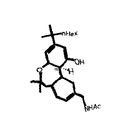 CCCCCCC(C)(C)C1=CC2OC(C)(C)C3CC=C(CNC(C)=O)CC3[C@@H]2C(O)=C1